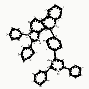 c1ccc(-c2cc(-c3ccc(-c4nc5ccccc5c5ccc6c(nc(-c7ccccc7)n6-c6ccccc6)c45)cc3)nc(-c3ccccc3)n2)cc1